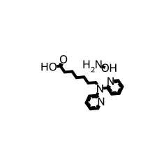 NO.O=C(O)CCCCCCN(c1ccccn1)c1ccccn1